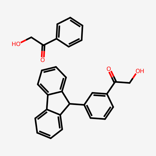 O=C(CO)c1cccc(C2c3ccccc3-c3ccccc32)c1.O=C(CO)c1ccccc1